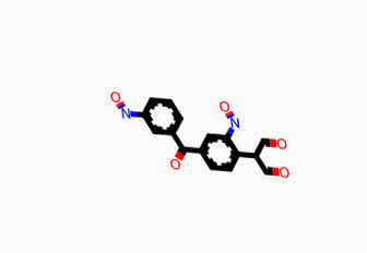 O=CC(C=O)c1ccc(C(=O)c2cccc(N=O)c2)cc1N=O